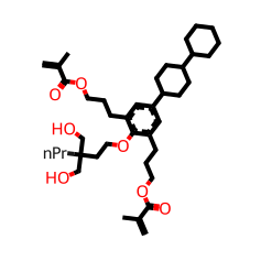 C=C(C)C(=O)OCCCc1cc(C2CCC(C3CCCCC3)CC2)cc(CCCOC(=O)C(=C)C)c1OCCC(CO)(CO)CCC